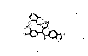 O=[N+]([O-])c1cc(C(Nc2ccc3[nH]cnc3c2)c2nnnn2Cc2ccccc2Cl)ccc1Cl